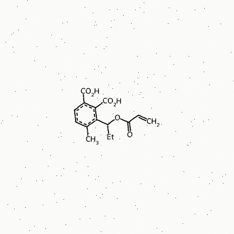 C=CC(=O)OC(CC)c1c(C)ccc(C(=O)O)c1C(=O)O